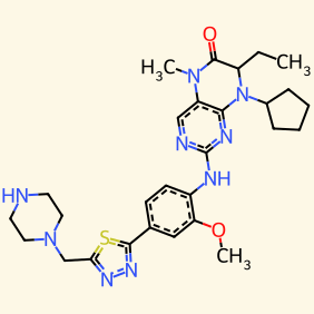 CCC1C(=O)N(C)c2cnc(Nc3ccc(-c4nnc(CN5CCNCC5)s4)cc3OC)nc2N1C1CCCC1